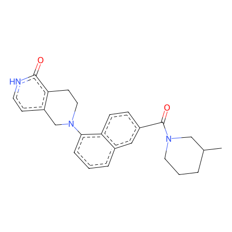 CC1CCCN(C(=O)c2ccc3c(N4CCc5c(cc[nH]c5=O)C4)cccc3c2)C1